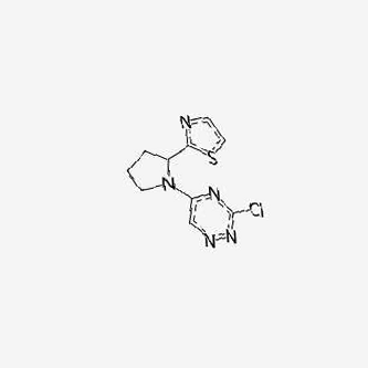 Clc1nncc(N2CCCC2c2nccs2)n1